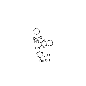 O=C(O)c1cc(Nc2nc3ccccc3nc2NS(=O)(=O)c2ccc(Cl)cc2)ccc1O